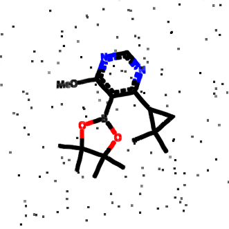 COc1ncnc(C2CC2(C)C)c1B1OC(C)(C)C(C)(C)O1